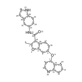 Cc1oc2cc(Oc3ccnc4ccsc34)ccc2c1C(=O)Nc1ccc2[nH]ccc2c1